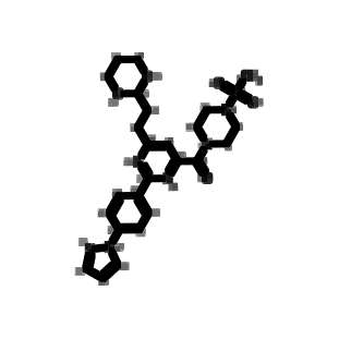 CS(=O)(=O)N1CCN(C(=O)c2cc(CCC3OCCCO3)nc(-c3ccc(-n4cccn4)cc3)n2)CC1